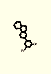 Brc1cc(Br)cc(-c2ccc3c(ccc4ccccc43)c2)c1